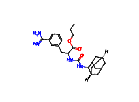 CCCOC(=O)C(Cc1cccc(C(=N)N)c1)NC(=O)NC1C2CC3C[C@H](C2)C[C@@H]1C3